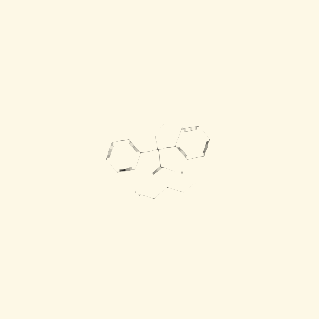 CCCCN.COC(C(=O)O)(c1ccccc1)c1ccccc1